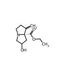 C=C1CCN2CC(O)C[C@]12C(=O)OCC